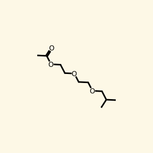 CC(=O)OCCOCCOCC(C)C